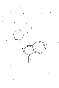 CO[C@@H]1CCC[C@H]1n1cc(C)c2cccnc21